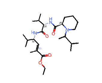 CCOC(=O)/C(C)=C/[C@@H](NC(=O)[C@@H](NC(=O)[C@H]1CCCCN1C(C)C(C)C)C(C)C)C(C)C